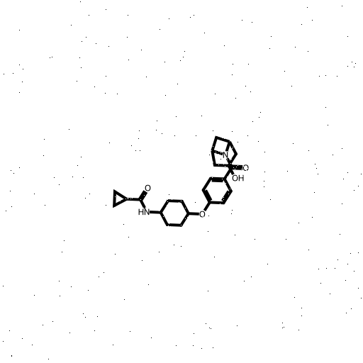 O=C(NC1CCC(Oc2ccc(C(=O)N3C4CC(O)CC3C4)cc2)CC1)C1CC1